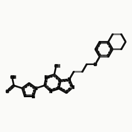 O=C(O)c1cnn(-c2nc(O)c3c(cnn3CCCOc3ccc4c(c3)CCCC4)n2)c1